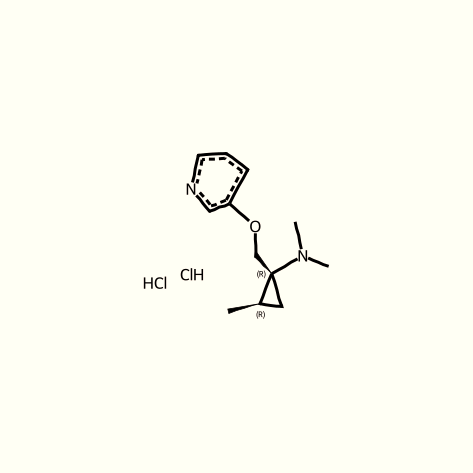 C[C@@H]1C[C@@]1(COc1cccnc1)N(C)C.Cl.Cl